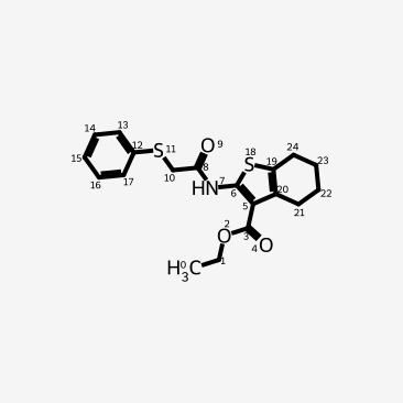 CCOC(=O)c1c(NC(=O)CSc2ccccc2)sc2c1CCCC2